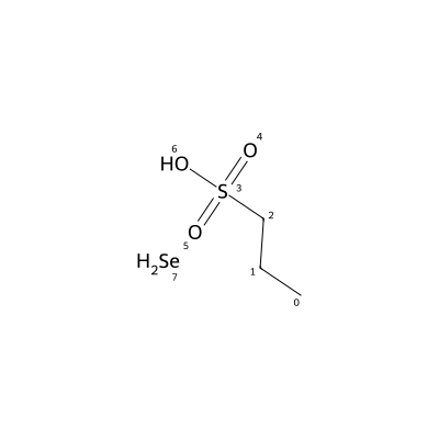 CCCS(=O)(=O)O.[SeH2]